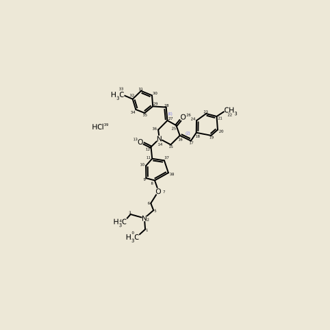 CCN(CC)CCOc1ccc(C(=O)N2C/C(=C/c3ccc(C)cc3)C(=O)/C(=C/c3ccc(C)cc3)C2)cc1.Cl